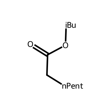 CCCCCCC(=O)OC(C)CC